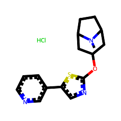 CN1C2CCC1CC(Oc1ncc(-c3cccnc3)s1)C2.Cl